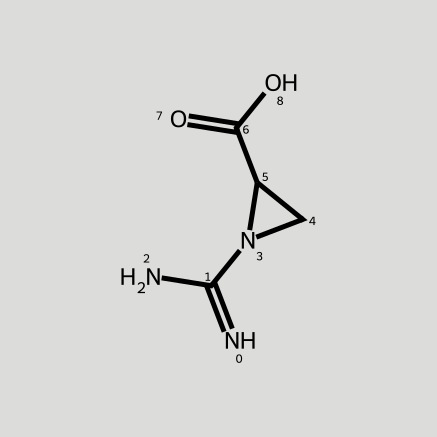 N=C(N)N1CC1C(=O)O